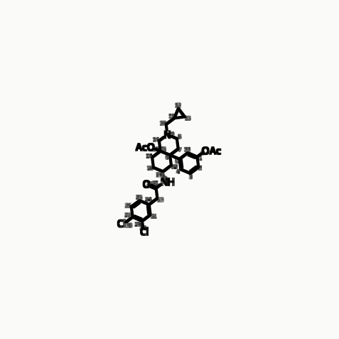 CC(=O)Oc1cccc(C23CCN(CC4CC4)CC2(OC(C)=O)CC[C@@H](NC(=O)Cc2ccc(Cl)c(Cl)c2)C3)c1